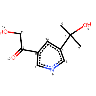 CC(C)(O)c1cncc(C(=O)CO)c1